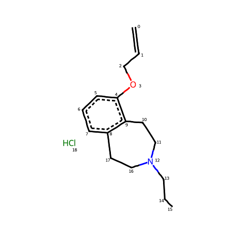 C=CCOc1cccc2c1CCN(CCC)CC2.Cl